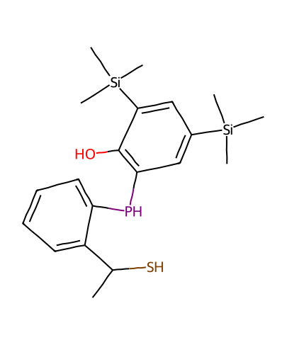 CC(S)c1ccccc1Pc1cc([Si](C)(C)C)cc([Si](C)(C)C)c1O